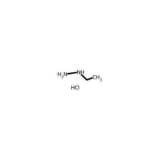 CCNN.Cl